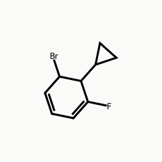 FC1=CC=CC(Br)C1C1CC1